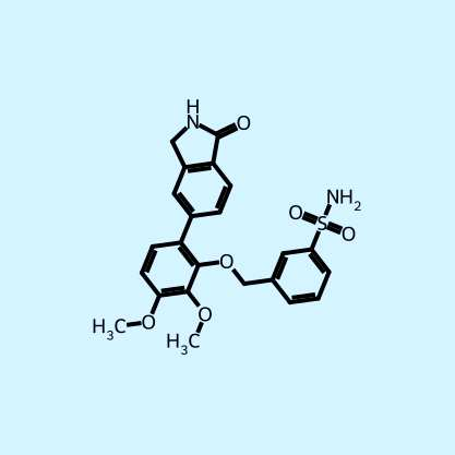 COc1ccc(-c2ccc3c(c2)CNC3=O)c(OCc2cccc(S(N)(=O)=O)c2)c1OC